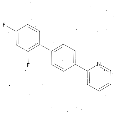 Fc1ccc(-c2ccc(-c3ccccn3)cc2)c(F)c1